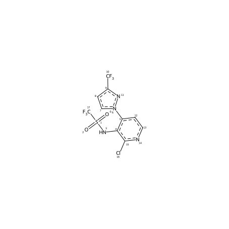 O=S(=O)(Nc1c(-n2ccc(C(F)(F)F)n2)ccnc1Cl)C(F)(F)F